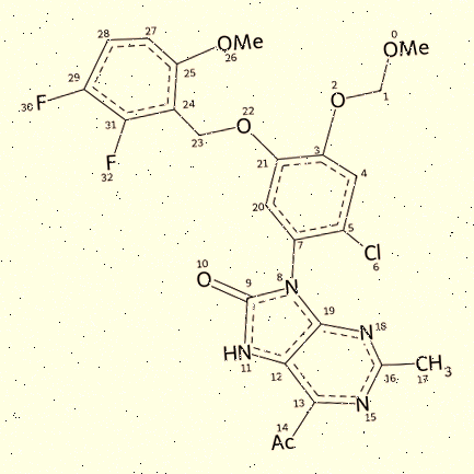 COCOc1cc(Cl)c(-n2c(=O)[nH]c3c(C(C)=O)nc(C)nc32)cc1OCc1c(OC)ccc(F)c1F